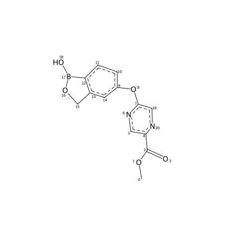 COC(=O)c1cnc(Oc2ccc3c(c2)COB3O)cn1